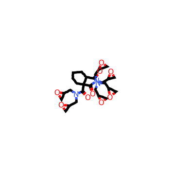 O=C(C1CCCCC1(C(=O)N(CC1CO1)CC1CO1)C(=O)N(CC1CO1)CC1CO1)N(CC1CO1)CC1CO1